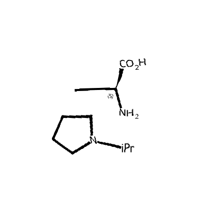 CC(C)N1CCCC1.C[C@H](N)C(=O)O